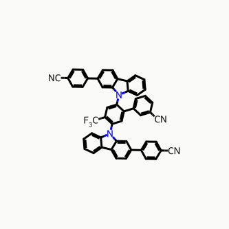 N#Cc1ccc(-c2ccc3c4ccccc4n(-c4cc(C(F)(F)F)c(-n5c6ccccc6c6ccc(-c7ccc(C#N)cc7)cc65)cc4-c4cccc(C#N)c4)c3c2)cc1